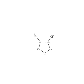 ClC1CCCN1Cl